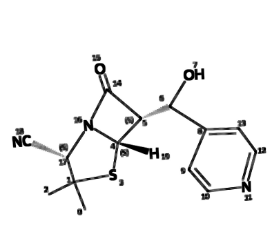 CC1(C)S[C@H]2[C@@H](C(O)c3ccncc3)C(=O)N2[C@H]1C#N